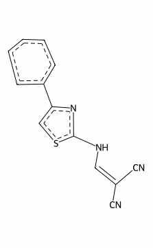 N#CC(C#N)=CNc1nc(-c2ccccc2)cs1